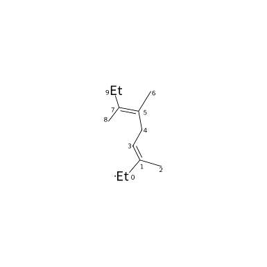 C[CH]C(C)=CCC(C)=C(C)CC